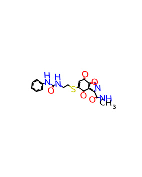 CNC(=O)c1noc2c1C(=O)C(SCCNC(=O)Nc1ccccc1)=CC2=O